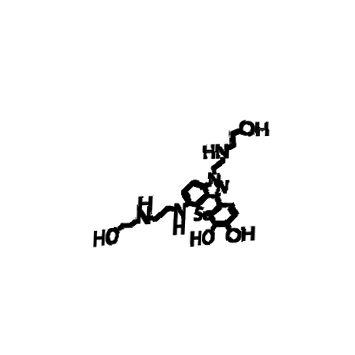 OCCNCCNc1ccc2c3c(nn2CCNCCO)-c2ccc(O)c(O)c2[Se]c13